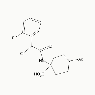 CC(=O)N1CCC(NC(=O)C(Cl)c2ccccc2Cl)(C(=O)O)CC1